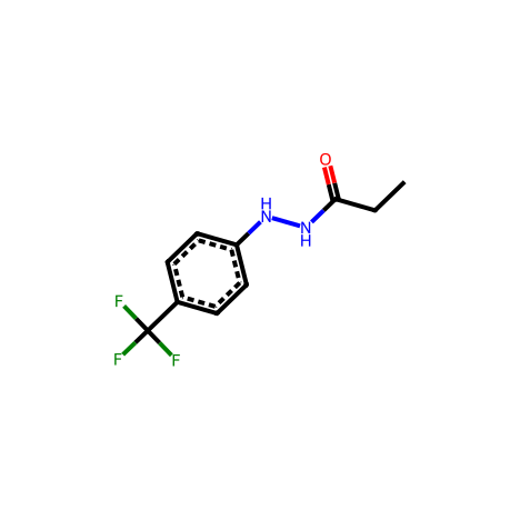 CCC(=O)NNc1ccc(C(F)(F)F)cc1